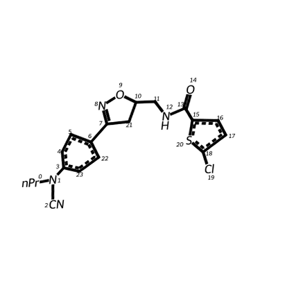 CCCN(C#N)c1ccc(C2=NOC(CNC(=O)c3ccc(Cl)s3)C2)cc1